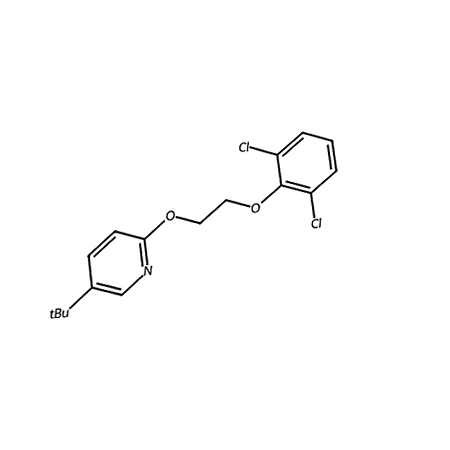 CC(C)(C)c1ccc(OCCOc2c(Cl)cccc2Cl)nc1